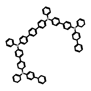 C1=CCCC(N(C2=CCC(c3ccccc3)C=C2)c2ccc(-c3ccc(N(c4ccccc4)c4ccc(-c5ccc(-c6ccc(N(c7ccccc7)c7ccc(C8=CCC(N(C9=CC=CCC9)c9ccc(C%10C=CC=CC%10)cc9)C=C8)cc7)cc6)cc5)cc4)cc3)cc2)=C1